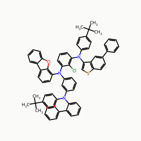 CC(C)(C)c1ccc(N(c2cccc(N(c3cccc(N(c4ccc(C(C)(C)C)cc4)c4csc5ccc(-c6ccccc6)cc45)c3Cl)c3cccc4c3oc3ccccc34)c2)c2ccccc2-c2ccccc2)cc1